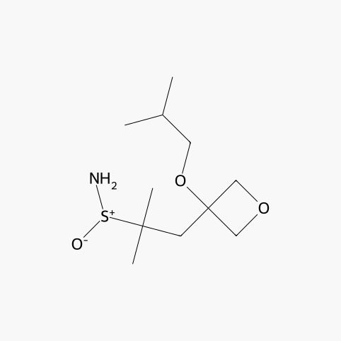 CC(C)COC1(CC(C)(C)[S+](N)[O-])COC1